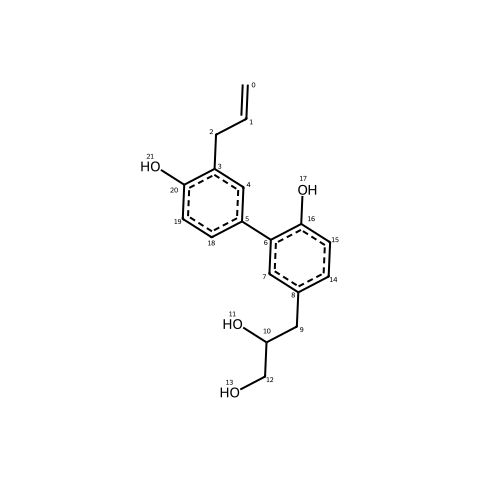 C=CCc1cc(-c2cc(CC(O)CO)ccc2O)ccc1O